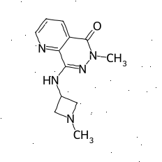 CN1CC(Nc2nn(C)c(=O)c3cccnc23)C1